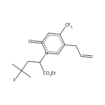 C=CCc1cn(C(CC(C)(C)F)C(=O)OCC)c(=O)cc1C(F)(F)F